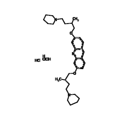 CC(CCN1CCCCC1)COc1ccc2cc3ccc(OCC(C)CCN4CCCCC4)cc3nc2c1.Cl.Cl.Cl